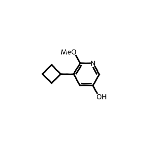 COc1ncc(O)cc1C1CCC1